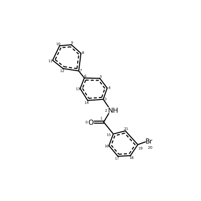 O=C(Nc1ccc(-c2ccccc2)cc1)c1cccc(Br)c1